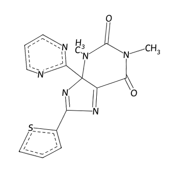 CN1C(=O)C2=NC(c3cccs3)=NC2(c2ncccn2)N(C)C1=O